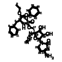 CCOC(=O)C(Cc1ccccc1)NP(=O)(OC[C@@]1(N=[N+]=[N-])O[C@@H](n2ccc(N)nc2=O)[C@H](O)[C@@H]1O)Oc1ccccc1